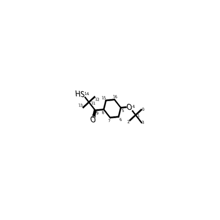 CC(C)(C)OC1CCC(C(=O)C(C)(C)S)CC1